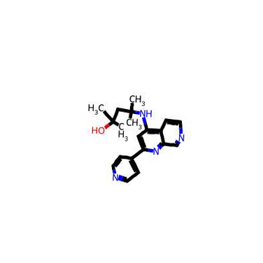 CC(C)(O)CC(C)(C)Nc1cc(-c2ccncc2)nc2cnccc12